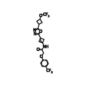 O=C(COc1ccc(C(F)(F)F)cc1)NC12CC(c3nnc(C4CC(OC(F)(F)F)C4)o3)(C1)C2